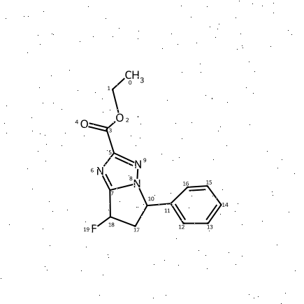 CCOC(=O)c1nc2n(n1)C(c1ccccc1)CC2F